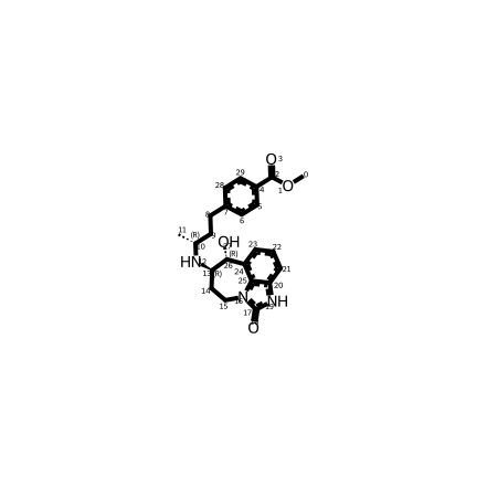 COC(=O)c1ccc(CC[C@@H](C)N[C@@H]2CCn3c(=O)[nH]c4cccc(c43)[C@H]2O)cc1